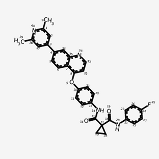 Cc1cc(-c2ccc3c(Oc4ccc(NC(=O)C5(C(=O)Nc6ccc(F)cc6)CC5)cc4)ccnc3c2)cc(C)n1